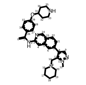 C=C(Nc1cc2cc(-c3cnn(C)c3CN3CCCCC3)ccc2cn1)c1ccc(OC2CCNCC2)cc1